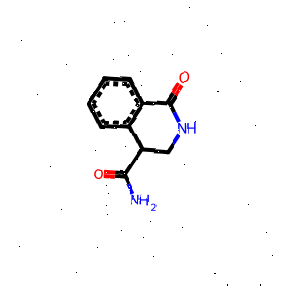 NC(=O)C1CNC(=O)c2ccccc21